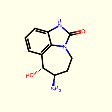 N[C@@H]1CCn2c(=O)[nH]c3cccc(c32)[C@H]1O